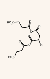 CCC(CC(=O)OC(=O)CCC(=O)O)C(=O)OC(=O)CCC(=O)O